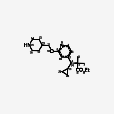 CCOC(=O)C(C)(C)[C@H](c1ccnc(OCC2CCNCC2)c1)C1CC1